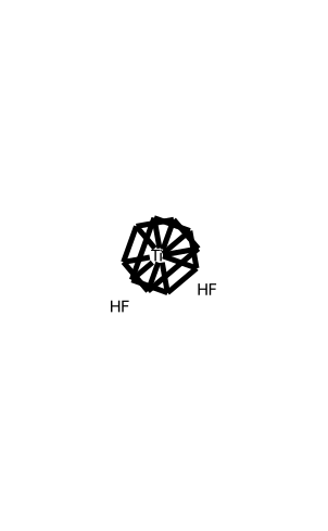 F.F.[CH]12[CH]3[CH]4[CH]5[CH]1[Ti]23451678[CH]2[CH]1[CH]6[CH]7[CH]28